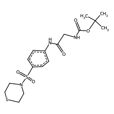 CC(C)(C)OC(=O)NCC(=O)Nc1ccc(S(=O)(=O)N2CCSCC2)cc1